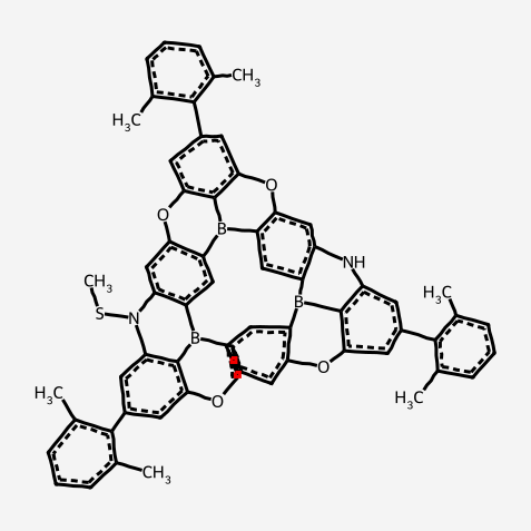 CSN1c2cc3c(cc2B2c4ccccc4Oc4cc(-c5c(C)cccc5C)cc1c42)B1c2cc4c(cc2Oc2cc(-c5c(C)cccc5C)cc(c21)O3)Nc1cc(-c2c(C)cccc2C)cc2c1B4c1ccccc1O2